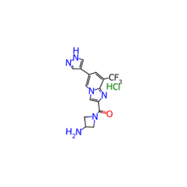 Cl.NC1CN(C(=O)c2cn3cc(-c4cn[nH]c4)cc(C(F)(F)F)c3n2)C1